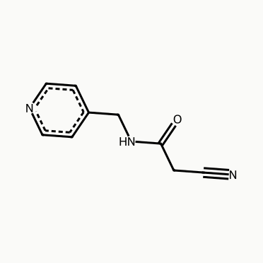 N#CCC(=O)NCc1ccncc1